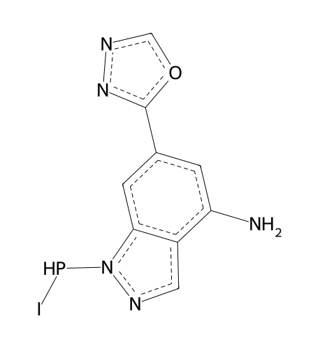 Nc1cc(-c2nnco2)cc2c1cnn2PI